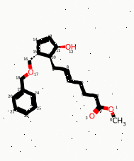 COC(=O)CCC/C=C/C[C@@H]1[C@H](O)C=C[C@H]1COCc1ccccc1